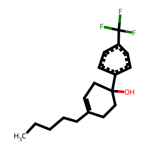 CCCCCC1=CCC(O)(c2ccc(C(F)(F)F)cc2)CC1